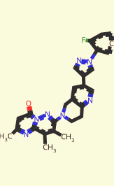 Cc1cc(=O)n2nc(N3CCc4ncc(-c5cnn(-c6ccccc6F)c5)cc4C3)c(C)c(C)c2n1